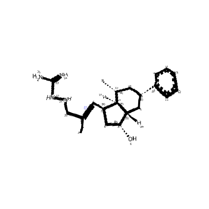 C/C(=C\[C@@H]1C[C@@H](O)[C@H]2C[C@@H](c3ccccc3)C[C@@H](C)[C@@H]21)CNNC(=N)N